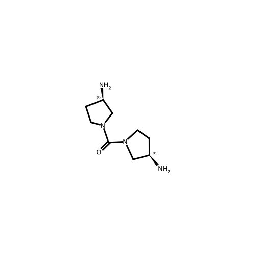 N[C@@H]1CCN(C(=O)N2CC[C@@H](N)C2)C1